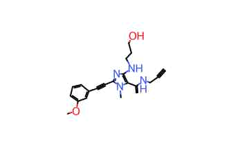 C#CCNC(=C)c1c(NCCCO)nc(C#Cc2cccc(OC)c2)n1C